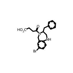 O=C(O)CCC(=O)N1Cc2cc(Br)ccc2NCC1Cc1ccccc1